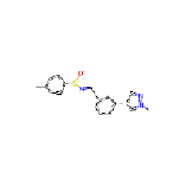 Cc1ccc([S+]([O-])N=Cc2cccc(-c3cnn(C)c3)c2)cc1